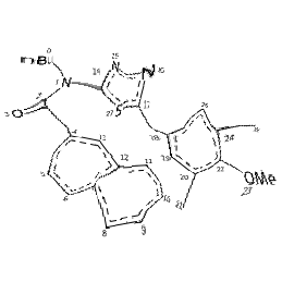 CCCCN(C(=O)c1ccc2ccccc2c1)c1nnc(-c2cc(C)c(OC)c(C)c2)s1